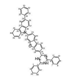 C1=CC(C2NC(c3ccccc3)=NC(c3ccc4c(c3)oc3cc(-n5c6c(c7cc(-c8ccccc8)ccc75)CCC=C6)ccc34)N2)=CCC1